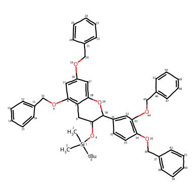 CC(C)(C)[Si](C)(C)OC1Cc2c(OCc3ccccc3)cc(OCc3ccccc3)cc2OC1c1ccc(OCc2ccccc2)c(OCc2ccccc2)c1